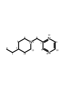 CCC1CCN(Cc2cnccn2)CC1